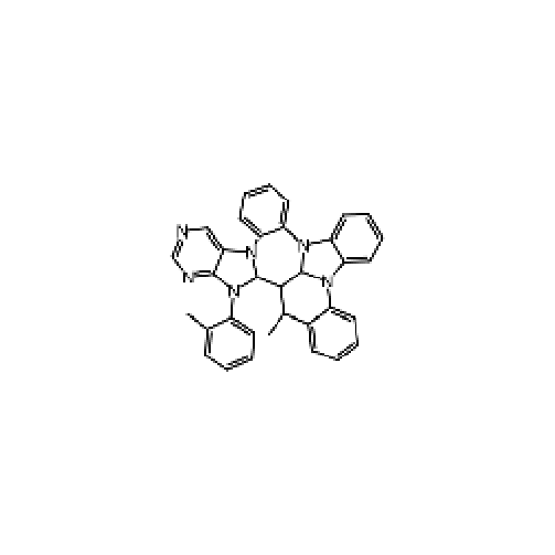 Cc1ccccc1N1c2ncncc2N(C)C1C1C(C)c2ccccc2N2c3ccccc3N(c3ccccc3)C12